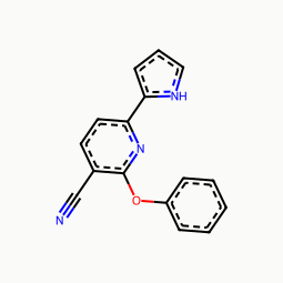 N#Cc1ccc(-c2ccc[nH]2)nc1Oc1ccccc1